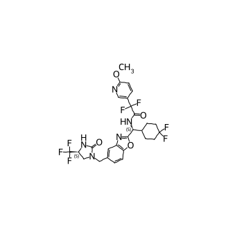 COc1ccc(C(F)(F)C(=O)N[C@H](c2nc3cc(CN4C[C@@H](C(F)(F)F)NC4=O)ccc3o2)C2CCC(F)(F)CC2)cn1